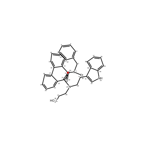 CCN(Cc1ccccc1)C(=O)c1ccccc1-c1ccccc1C(=O)N(CCC(=O)O)CCc1c[nH]c2ccccc12